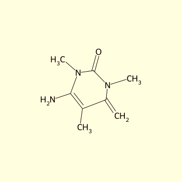 C=C1C(C)=C(N)N(C)C(=O)N1C